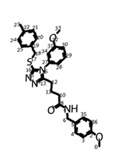 COc1ccc(CNC(=O)CCCc2nnc(SCc3ccc(C)cc3)n2-c2cccc(OC)c2)cc1